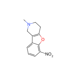 CN1CCc2oc3c([N+](=O)[O-])cccc3c2C1